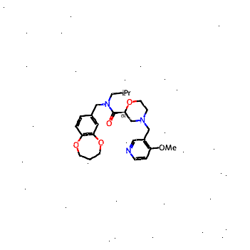 COc1ccncc1CN1CCO[C@H](C(=O)N(Cc2ccc3c(c2)OCCCO3)CC(C)C)C1